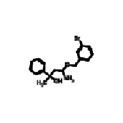 CC(O)(CC(N)OCc1cccc(Br)c1)c1ccccc1